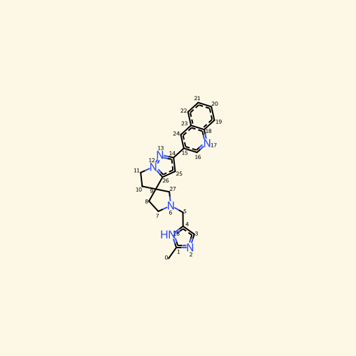 Cc1ncc(CN2CCC3(CCn4nc(-c5cnc6ccccc6c5)cc43)C2)[nH]1